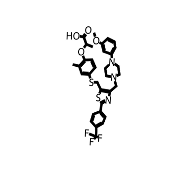 COc1cccc(N2CCN(Cc3nc(-c4ccc(C(F)(F)F)cc4)sc3CSc3ccc(OC(C)C(=O)O)c(C)c3)CC2)c1